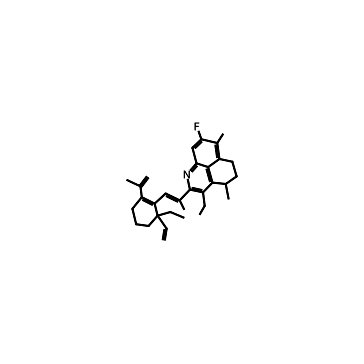 C=CC1(CC)CCCC(C(=C)C)=C1/C=C(\C)c1nc2cc(F)c(C)c3c2c(c1CC)C(C)CC3